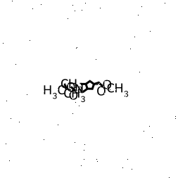 COC(=O)C=C1CC2CN(C(=O)OC(C)(C)C)CC2C1